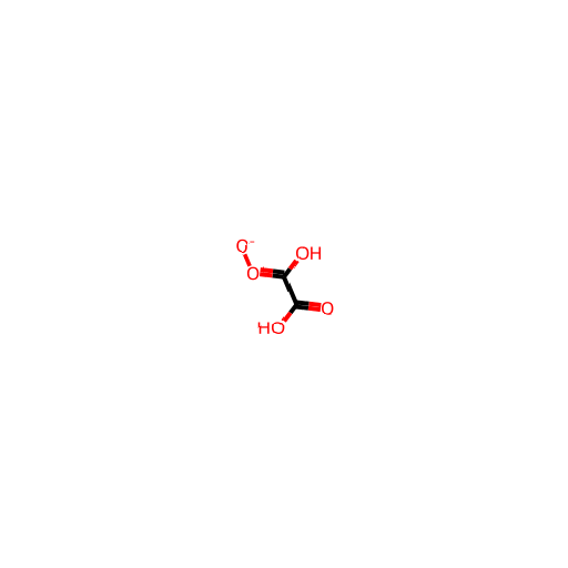 O=C(O)C(O)=[O+][O-]